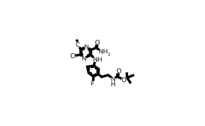 CCc1nc(C(N)=O)c(Nc2ccc(F)c(CCNC(=O)OC(C)(C)C)c2)nc1Cl